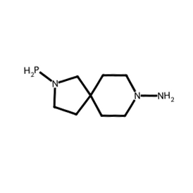 NN1CCC2(CC1)CCN(P)C2